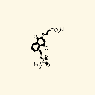 CS(=O)(=O)OCc1cccc2c1C(=O)C=C(SCCC(=O)O)C2=O